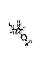 CCOC(=O)c1[nH]n(C2=CCC(=S(=O)=O)C=C2)c(=O)c1N